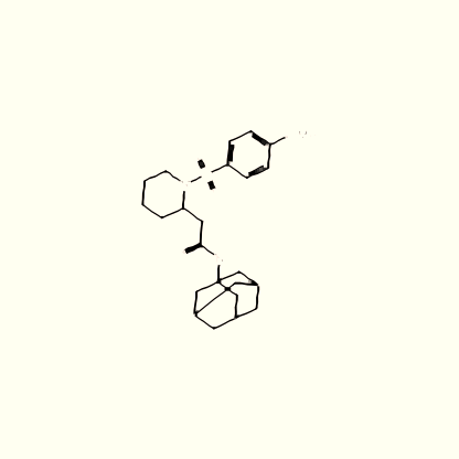 COc1ccc(S(=O)(=O)N2CCCCC2CC(=O)NC23CC4CC(CC(C4)C2)C3)cc1